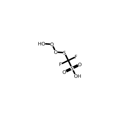 O=S(=O)(O)C(F)(F)SOOO